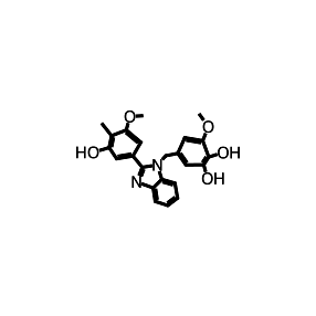 COc1cc(-c2nc3ccccc3n2Cc2cc(O)c(O)c(OC)c2)cc(O)c1C